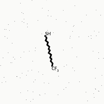 FC(F)(F)CCCCCCCCCCCCCCCS